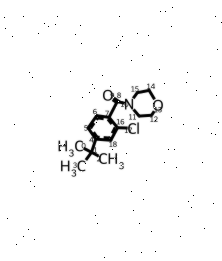 CC(C)(C)c1ccc(C(=O)N2CCOCC2)c(Cl)c1